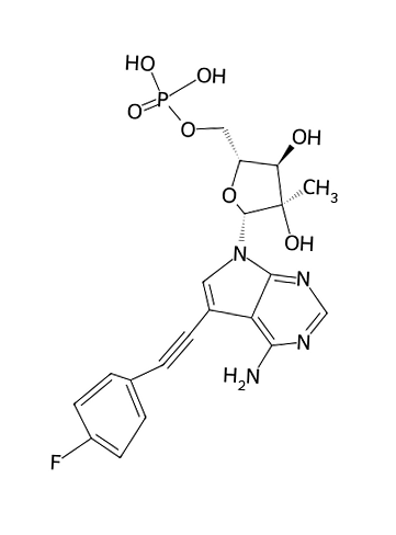 C[C@@]1(O)[C@H](O)[C@@H](COP(=O)(O)O)O[C@H]1n1cc(C#Cc2ccc(F)cc2)c2c(N)ncnc21